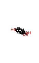 C[C@H](O)[C@@]1(O)CC[C@H]2C3CC[C@@H]4C[C@H](O)CC[C@]4(C)[C@H]3CC[C@@]21C